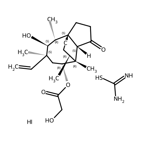 C=C[C@]1(C)C[C@@H](OC(=O)CO)[C@]2(C)[C@H](C)CC[C@]3(CCC(=O)[C@@H]32)[C@@H](C)[C@@H]1O.I.N=C(N)S